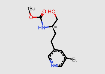 CCc1cncc(CC[C@H](CO)NC(=O)OC(C)(C)C)c1